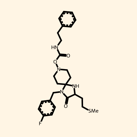 CSCCC1NC2(CCN(OC(=O)NCCc3ccccc3)CC2)N(Cc2ccc(F)cc2)C1=O